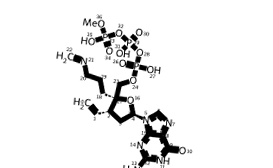 C=C[C@H]1C[C@H](n2cnc3c(=O)[nH]c(N)nc32)O[C@]1(CCCN=C)COP(=O)(O)OP(=O)(O)OP(=O)(O)OC